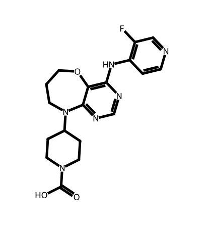 O=C(O)N1CCC(N2CCCOc3c(Nc4ccncc4F)ncnc32)CC1